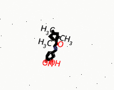 Cc1cc(C)c(C(=O)/C=C/c2ccc(O)c(O)c2)c(C)c1